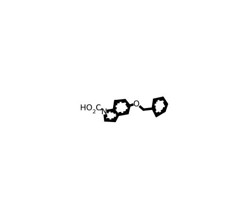 O=C(O)n1ccc2cc(OCc3ccccc3)ccc21